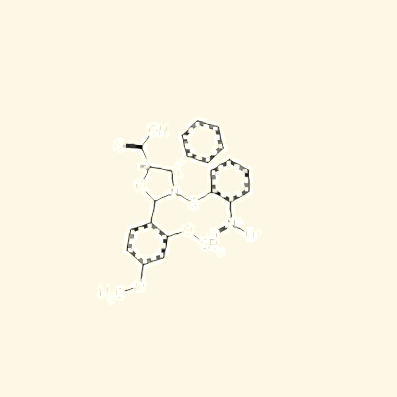 COc1ccc(C2O[C@@H](C(=O)O)[C@H](c3ccccc3)N2Sc2ccccc2[N+](=O)[O-])c(OC)c1